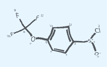 [O-][S+](Cl)c1ccc(OC(F)(F)F)cc1